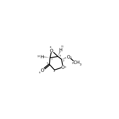 CO[C@@H]1OCC(=O)[C@H]2O[C@@H]12